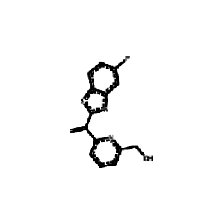 C=C(c1cccc(CO)n1)c1nc2cc(F)ccc2s1